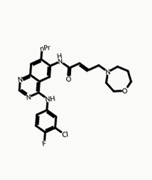 CCCc1cc2ncnc(Nc3ccc(F)c(Cl)c3)c2cc1NC(=O)/C=C/CN1CCCOCC1